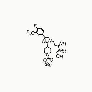 CC[C@@H](CO)C(=N)CCn1cc(-c2ccc(F)c(C(F)(F)F)c2)nc1C1CCN(C(=O)OC(C)(C)C)CC1